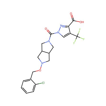 O=C(O)c1nn(C(=O)N2CC3CN(OCc4ccccc4Cl)CC3C2)cc1C(F)(F)F